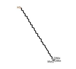 CO[Si](CCCCCCCCCCCCCCCCCCCCCCCCCCCCCCCCCCCCS)(OC)OC